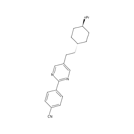 CCC[C@H]1CC[C@H](CCc2cnc(-c3ccc(C#N)cc3)nc2)CC1